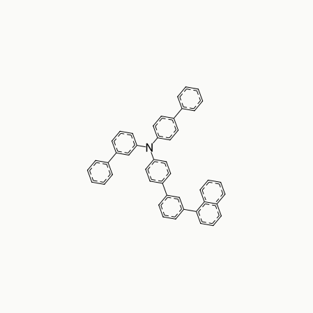 c1ccc(-c2ccc(N(c3ccc(-c4cccc(-c5cccc6ccccc56)c4)cc3)c3cccc(-c4ccccc4)c3)cc2)cc1